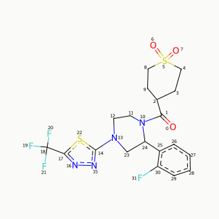 O=C(C1CCS(=O)(=O)CC1)N1CCN(c2nnc(C(F)(F)F)s2)CC1c1ccccc1F